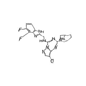 Fc1ccc2[nH]c(CNc3nc(N4CC5CCC(C4)N5)nc4c(Cl)cnn34)nc2c1F